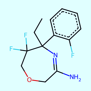 CCC1(c2ccccc2F)N=C(N)COCC1(F)F